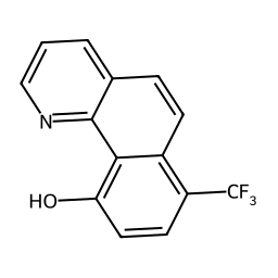 Oc1ccc(C(F)(F)F)c2ccc3cccnc3c12